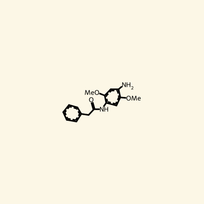 COc1cc(NC(=O)Cc2ccccc2)c(OC)cc1N